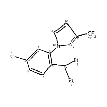 CCC(CC)c1ccc(Cl)cc1-n1ccc(C(F)(F)F)n1